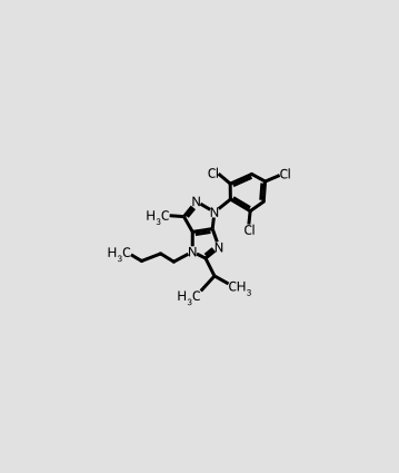 CCCCn1c(C(C)C)nc2c1c(C)nn2-c1c(Cl)cc(Cl)cc1Cl